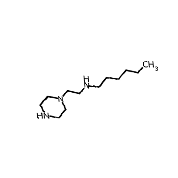 CCCCCCNCCN1CCNCC1